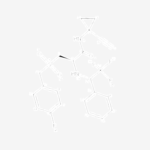 C#CC1(NC(=O)[C@H](CS(=O)(=O)Cc2ccc(F)cc2)N[C@@H](c2ccccc2)C(F)(F)F)CC1